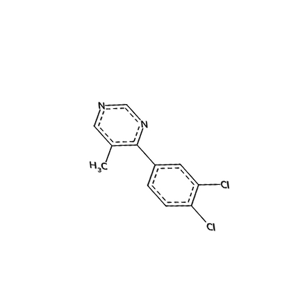 Cc1cncnc1-c1ccc(Cl)c(Cl)c1